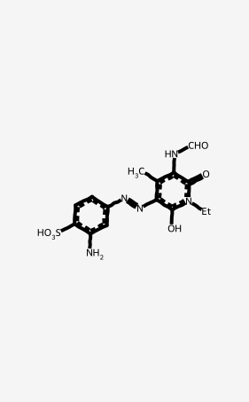 CCn1c(O)c(N=Nc2ccc(S(=O)(=O)O)c(N)c2)c(C)c(NC=O)c1=O